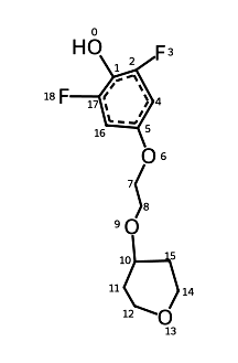 Oc1c(F)cc(OCCOC2CCOCC2)cc1F